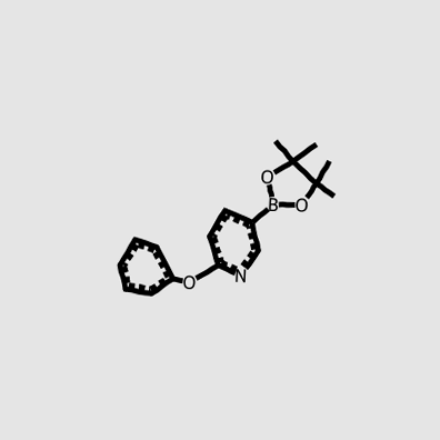 CC1(C)OB(c2ccc(Oc3ccccc3)nc2)OC1(C)C